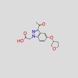 CC(=O)c1nn(CC(=O)O)c2ccc(OC3CCOC3)cc12